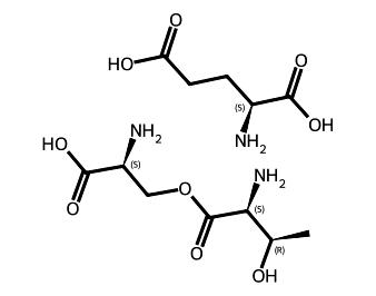 C[C@@H](O)[C@H](N)C(=O)OC[C@H](N)C(=O)O.N[C@@H](CCC(=O)O)C(=O)O